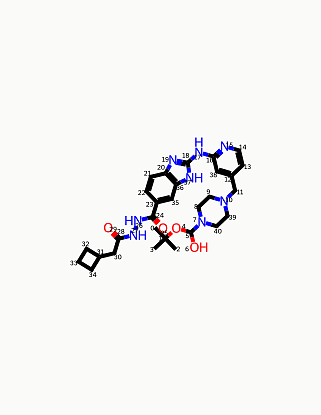 CC(C)(C)OC(O)N1CCN(Cc2ccnc(Nc3nc4ccc(C(=O)NNC(=O)CC5CCC5)cc4[nH]3)c2)CC1